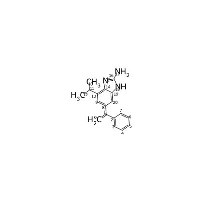 C=C(c1ccccc1)c1cc(C(C)C)c2nc(N)[nH]c2c1